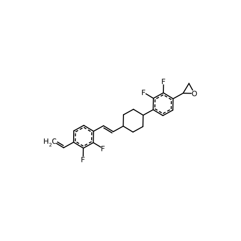 C=Cc1ccc(/C=C/C2CCC(c3ccc(C4CO4)c(F)c3F)CC2)c(F)c1F